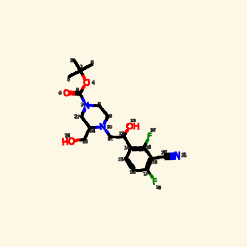 CC(C)(C)OC(=O)N1CCN(CC(O)c2ccc(F)c(C#N)c2F)C(CO)C1